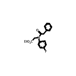 CCOC(=O)CN(C(=O)Cc1ccccc1)c1ccc(F)cc1